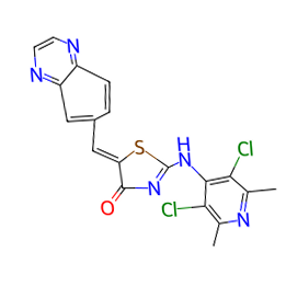 Cc1nc(C)c(Cl)c(NC2=NC(=O)/C(=C/c3ccc4nccnc4c3)S2)c1Cl